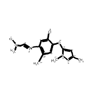 CCN(C)C=Nc1cc(Cl)c(Oc2cc(C)nn2C)cc1C